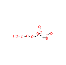 COCCOC(=O)C(C)(C)CC(C)(CCCCOCCOCCOCCO)C(=O)OCCOC